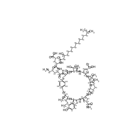 CCC(C)C1NC(=O)C(Cc2ccc(O)cc2)NC(=O)C(CCC(N)=O)NC(=O)C2CCCN2C(=O)C(C(C)C)NC(=O)C(CCC(=O)O)NC(=O)C(C(C)O)NC(=O)C(NC(=O)C(CCCN)NC(=O)C(CCC(=O)O)NC(=O)CC(O)CCCCCCCCCCCC(C)C)Cc2ccc(cc2)OC1=O